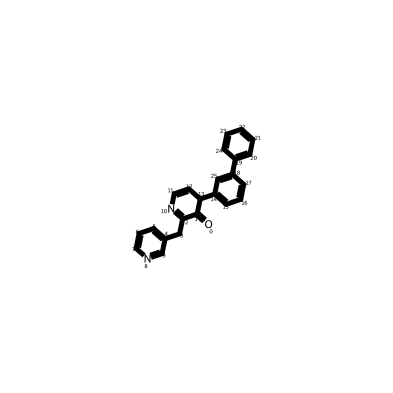 O=C1C(Cc2cccnc2)=NC=CC1c1cccc(-c2ccccc2)c1